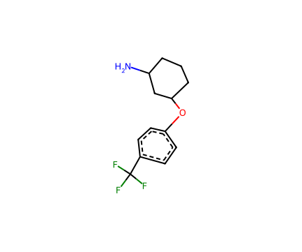 NC1CCCC(Oc2ccc(C(F)(F)F)cc2)C1